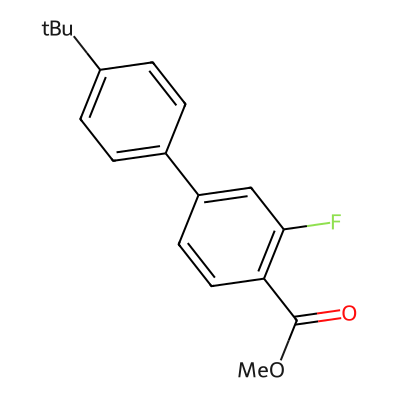 COC(=O)c1ccc(-c2ccc(C(C)(C)C)cc2)cc1F